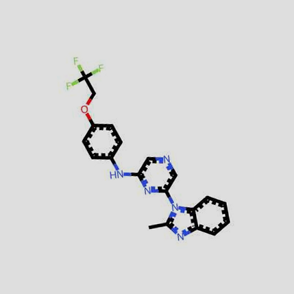 Cc1nc2ccccc2n1-c1cncc(Nc2ccc(OCC(F)(F)F)cc2)n1